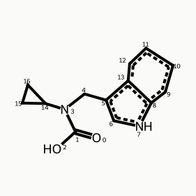 O=C(O)N(Cc1c[nH]c2ccccc12)C1CC1